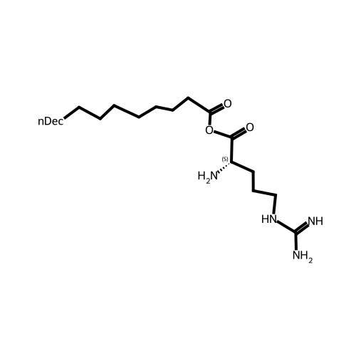 CCCCCCCCCCCCCCCCCC(=O)OC(=O)[C@@H](N)CCCNC(=N)N